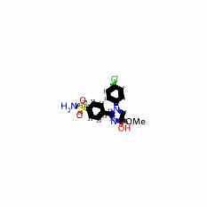 COC1(O)CN(c2ccc(Cl)cc2)C(c2ccc(S(N)(=O)=O)cc2)=N1